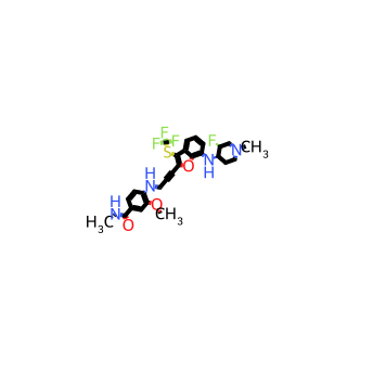 CNC(=O)c1ccc(NCC#Cc2oc3c(N[C@@H]4CCN(C)C[C@@H]4F)cccc3c2SC(F)(F)F)c(OC)c1